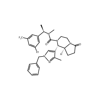 CCc1cc([C@@H](C)N(C)C(=O)N2CCN3C(=O)CC[C@H]3[C@@H]2c2cn(Cc3ccccc3)nc2C)cc(C(F)(F)F)c1